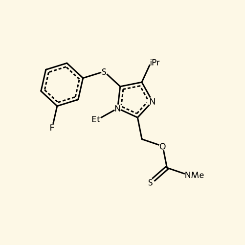 CCn1c(COC(=S)NC)nc(C(C)C)c1Sc1cccc(F)c1